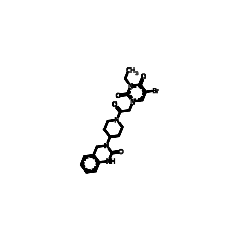 CCn1c(=O)c(Br)cn(CC(=O)N2CCC(N3Cc4ccccc4NC3=O)CC2)c1=O